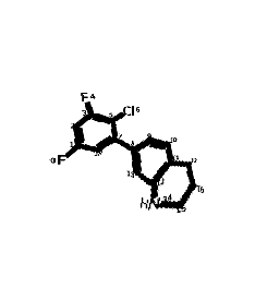 Fc1cc(F)c(Cl)c(-c2ccc3c(c2)NCCC3)c1